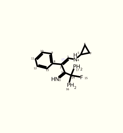 N=C(/C(=C\NC1CC1)c1ccccc1)C(F)(P)P